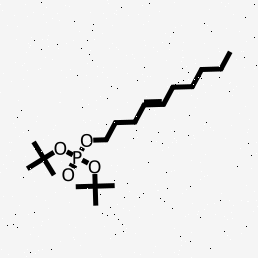 CCCCC/C=C/CCCOP(=O)(OC(C)(C)C)OC(C)(C)C